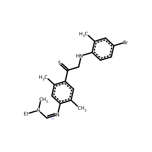 CCN(C)/C=N\c1cc(C)c(C(=S)CNc2ccc(Br)cc2C)cc1C